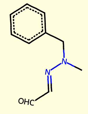 CN(Cc1ccccc1)N=CC=O